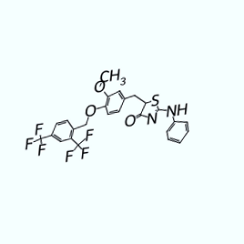 COc1cc(CC2SC(Nc3ccccc3)=NC2=O)ccc1OCc1ccc(C(F)(F)F)cc1C(F)(F)F